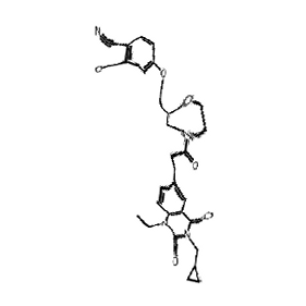 CCn1c(=O)n(CC2CC2)c(=O)c2cc(CC(=O)N3CCOC(COc4ccc(C#N)c(Cl)c4)C3)ccc21